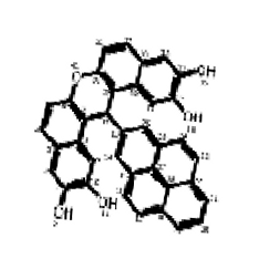 Oc1cc2ccc3c(c2cc1O)C(c1cc2ccc4cccc5ccc(c1)c2c45)c1c(ccc2cc(O)c(O)cc12)O3